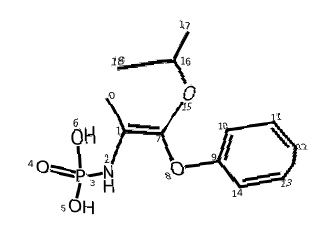 CC(NP(=O)(O)O)=C(Oc1ccccc1)OC(C)C